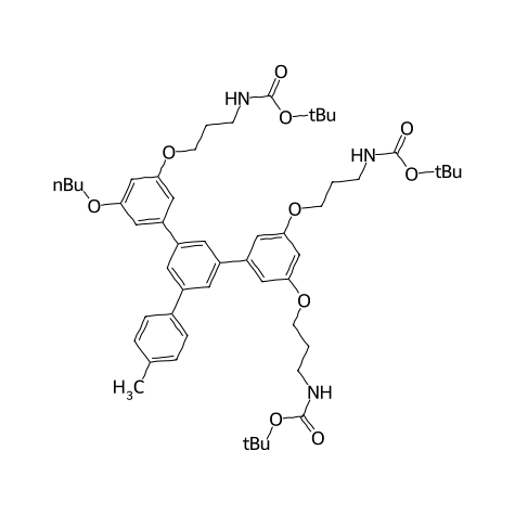 CCCCOc1cc(OCCCNC(=O)OC(C)(C)C)cc(-c2cc(-c3ccc(C)cc3)cc(-c3cc(OCCCNC(=O)OC(C)(C)C)cc(OCCCNC(=O)OC(C)(C)C)c3)c2)c1